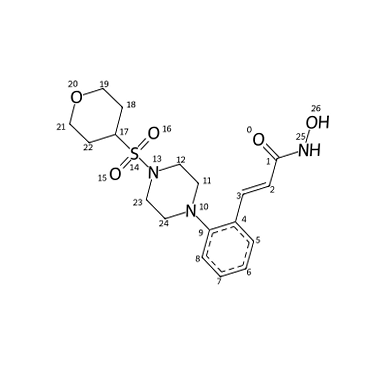 O=C(C=Cc1ccccc1N1CCN(S(=O)(=O)C2CCOCC2)CC1)NO